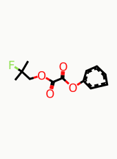 CC(C)(F)COC(=O)C(=O)Oc1ccccc1